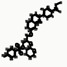 CCN(C)c1ccc(-c2ccc3ccc(OCC(COS(=O)(=O)c4ccc(C)cc4)OC4CCCCO4)cc3n2)cc1